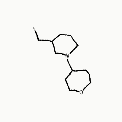 ICC1CCCN(C2CCOCC2)C1